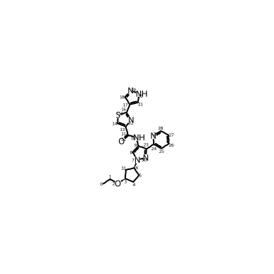 CCO[C@@H]1CC[C@H](n2cc(NC(=O)c3csc(-c4cn[nH]c4)n3)c(-c3ccccn3)n2)C1